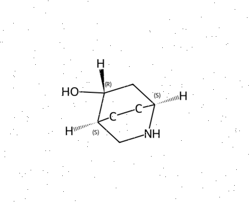 O[C@@H]1C[C@@H]2CC[C@H]1CN2